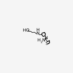 NC(=Nc1cccc(CNCCCCCO)c1)c1cccs1